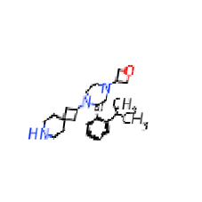 CC(C)c1ccccc1[C@H]1CN(C2COC2)CCN1C1CC2(CCNCC2)C1